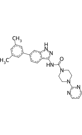 Cc1cc(C)cc(-c2ccc3c(NC(=O)N4CCN(c5ncccn5)CC4)n[nH]c3c2)c1